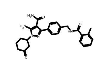 Cc1ccccc1C(=O)NCc1ccc(-c2nn(C3CCCC(=O)C3)c(N)c2C(N)=O)cc1